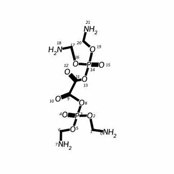 NCOP(=O)(OCN)OC(=O)C(=O)OP(=O)(OCN)OCN